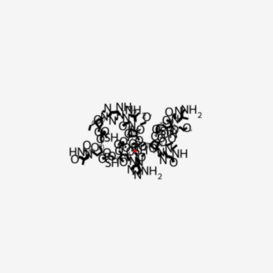 CC[C@H]1O[C@@H](n2cnc3c(N)ncnc32)CC1OP(=O)(S)OC[C@H]1O[C@@H](n2cc(C)c(=O)[nH]c2=O)CC1OP(=O)(S)OC[C@H]1O[C@@H](n2cnc3c(N)ncnc32)[C@@H](OCCOC)C1OP(=O)(O)OC[C@H]1O[C@@H](n2cc(C)c(N)nc2=O)[C@@H](OCCOC)C1OP(=O)(S)OC[C@H]1O[C@@H](n2cnc3c(=O)[nH]c(C)nc32)[C@@H](OCCOC)C1OP(=O)(S)OC[C@H]1O[C@@H](n2cc(C)c(N)nc2=O)[C@@H](OCCOC)C1O